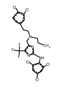 CCCN(CCc1ccc(Cl)c(Cl)c1)Cc1sc(Nc2c(Cl)cc(Cl)cc2Cl)nc1C(F)(F)F